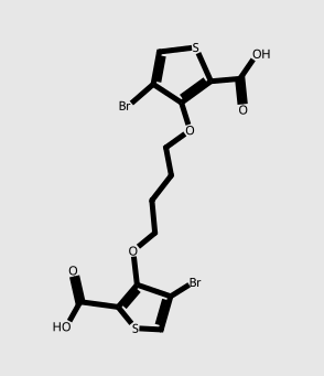 O=C(O)c1scc(Br)c1OCCCCOc1c(Br)csc1C(=O)O